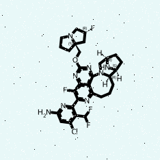 Nc1cc(Cl)c(C(F)F)c(-c2nc3c4c(nc(OC[C@@]56CCCN5C[C@H](F)C6)nc4c2F)N2C[C@H]4CC[C@H](N4)[C@H]2CCC3)n1